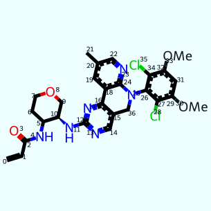 C=CC(=O)NC1CCOC[C@H]1Nc1ncc2c(n1)-c1cc(C)cnc1N(c1c(Cl)c(OC)cc(OC)c1Cl)C2